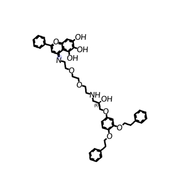 Oc1cc2oc(-c3ccccc3)c/c(=N/CCOCCOCCNC[C@@H](O)COc3ccc(OCCc4ccccc4)c(OCCc4ccccc4)c3)c2c(O)c1O